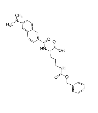 CN(C)c1ccc2cc(C(=O)N[C@@H](CCCNC(=O)OCc3ccccc3)C(=O)O)ccc2c1